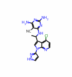 CC(Nc1nc(N)nc(N)c1C#N)c1cn(-c2cc[nH]n2)c2nccc(Cl)c12